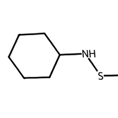 CSNC1CCCCC1